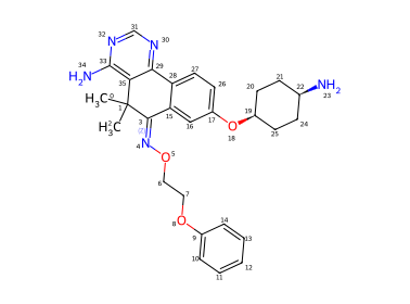 CC1(C)/C(=N/OCCOc2ccccc2)c2cc(O[C@H]3CC[C@@H](N)CC3)ccc2-c2ncnc(N)c21